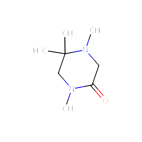 CN1CC(C)(C)N(C)CC1=O